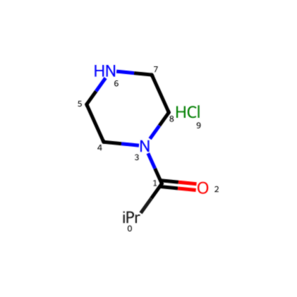 CC(C)C(=O)N1CCNCC1.Cl